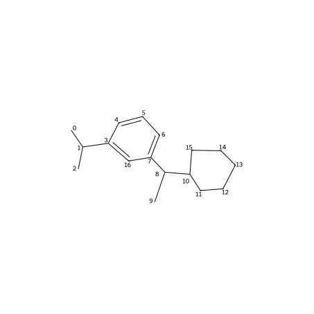 CC(C)c1cccc(C(C)C2CCCCC2)c1